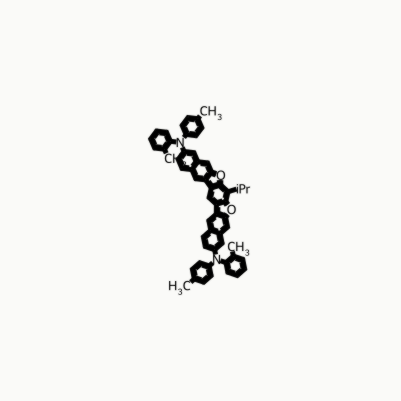 Cc1ccc(N(c2ccc3cc4c(cc3c2)oc2c(C(C)C)c3oc5cc6cc(N(c7ccc(C)cc7)c7ccccc7C)ccc6cc5c3cc24)c2ccccc2C)cc1